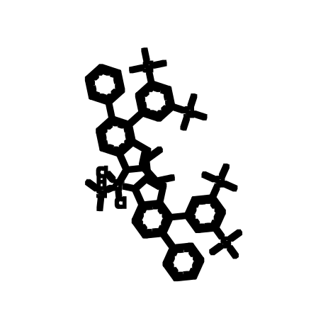 CCC1=Cc2c(ccc(-c3ccccc3)c2-c2cc([Si](C)(C)C)cc([Si](C)(C)C)c2)[CH]1[Zr]([Cl])([Cl])([CH]1C(CC)=Cc2c1ccc(-c1ccccc1)c2-c1cc([Si](C)(C)C)cc([Si](C)(C)C)c1)[SiH](C)C